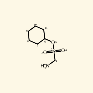 NCS(=O)(=O)OC1CCCCC1